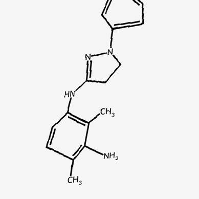 Cc1ccc(NC2=NN(c3ccccc3)CC2)c(C)c1N